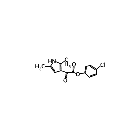 Cc1cc(C(=O)C(=O)Oc2ccc(Cl)cc2)c(C)[nH]1